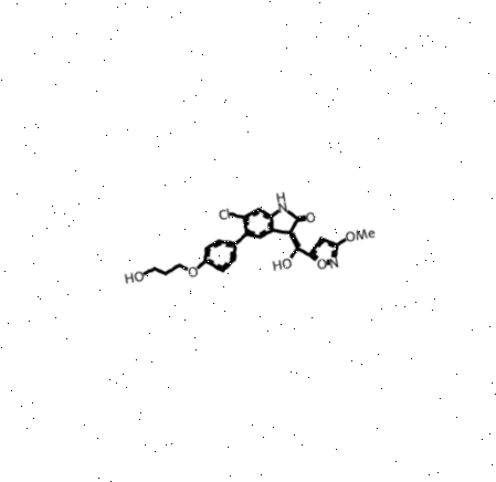 COc1cc(/C(O)=C2\C(=O)Nc3cc(Cl)c(-c4ccc(OCCCO)cc4)cc32)on1